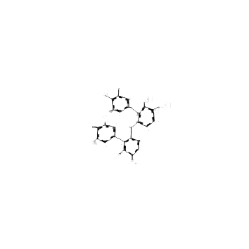 Cc1cc(-c2c(Cc3ccc(O)c(O)c3-c3cc(C)c(O)c(C)c3)ccc(O)c2O)cc(C)c1O